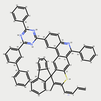 C=C/C=C\C1=C(C)C2(c3cc4c(cc3S1)c(-c1ccccc1)nc1ccc(-c3nc(-c5ccccc5)nc(-c5cccc(-c6ccccc6)c5)n3)cc14)c1ccccc1-c1ccccc12